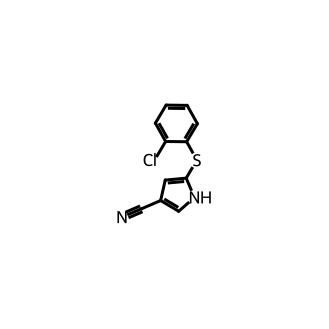 N#Cc1c[nH]c(Sc2ccccc2Cl)c1